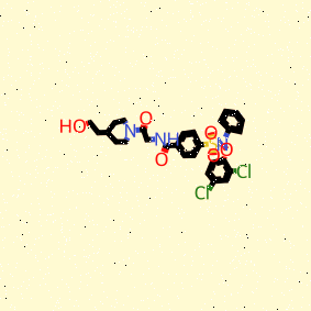 O=C(NCC(=O)N1CCC(CCO)CC1)c1ccc(S(=O)(=O)N(Oc2ccc(Cl)cc2Cl)c2ccccc2)cc1